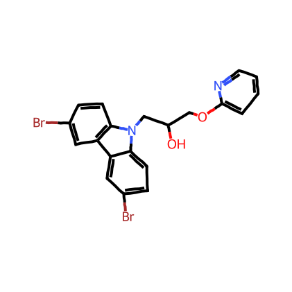 OC(COc1ccccn1)Cn1c2ccc(Br)cc2c2cc(Br)ccc21